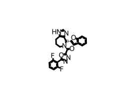 O=C(c1nnc(-c2c(F)cccc2F)o1)N1CCCc2[nH]cnc2[C@@H]1c1cc2ccccc2o1